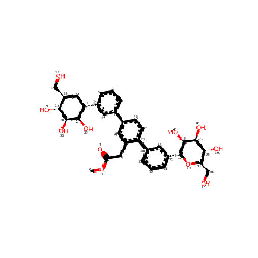 COC(=O)Cc1cc(-c2cccc([C@H]3C[C@H](CO)[C@@H](O)[C@H](O)[C@@H]3O)c2)ccc1-c1cccc([C@H]2O[C@H](CO)[C@@H](O)[C@H](O)[C@@H]2O)c1